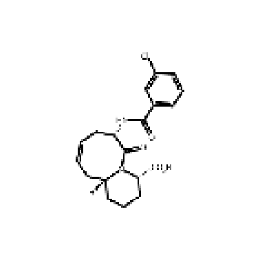 O=C(N[C@H]1C/C=C\C[C@H]2CCC[C@@H](C(=O)O)N2C1=O)c1cccc(Cl)c1